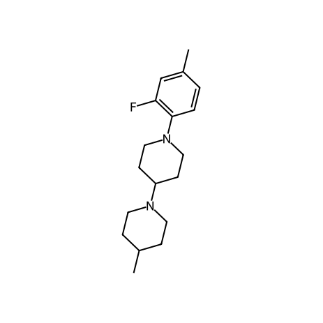 Cc1ccc(N2CCC(N3CCC(C)CC3)CC2)c(F)c1